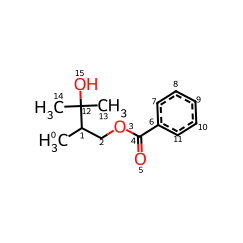 CC(COC(=O)c1ccccc1)C(C)(C)O